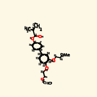 C=C(C)C(=O)Oc1ccc(-c2ccc(OCCOC=O)c(OCCOC)c2)cc1